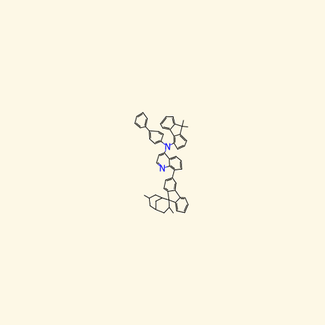 CC1CC2CC(C)C3(c4ccccc4-c4cc(-c5cccc6c(N(c7ccc(-c8ccccc8)cc7)c7cccc8c7-c7ccccc7C8(C)C)ccnc56)ccc43)C(C1)C2